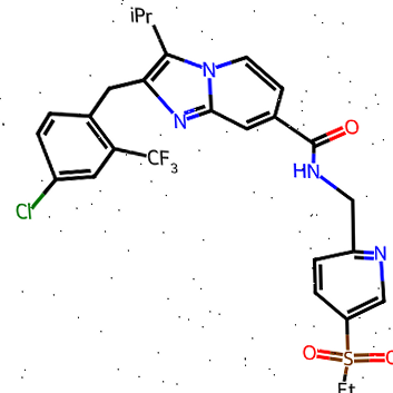 CCS(=O)(=O)c1ccc(CNC(=O)c2ccn3c(C(C)C)c(Cc4ccc(Cl)cc4C(F)(F)F)nc3c2)nc1